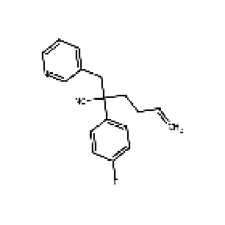 C=CCCC(C#N)(Cc1cccnc1)c1ccc(F)cc1